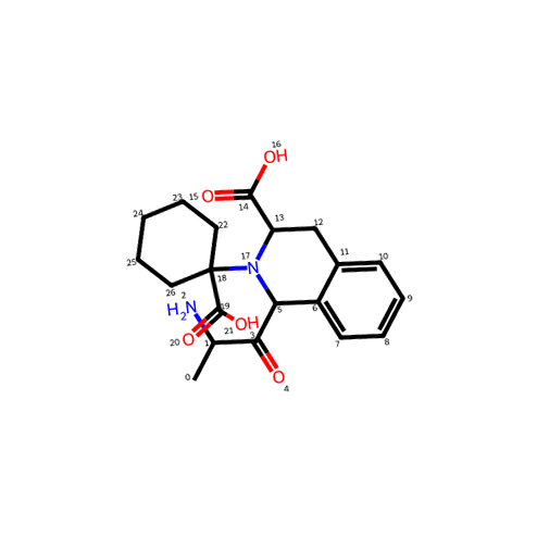 CC(N)C(=O)C1c2ccccc2CC(C(=O)O)N1C1(C(=O)O)CCCCC1